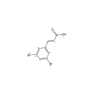 O=C(O)C=Cc1cc(Br)cc(Br)c1